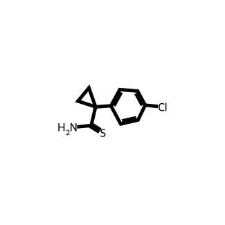 NC(=S)C1(c2ccc(Cl)cc2)CC1